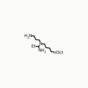 CCCCCCCCCCCCN(CCCN)C(N)CC